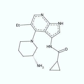 CCc1cnc2[nH]cc(NC(=O)C3CC3)c2c1N1CCC[C@@H](N)C1